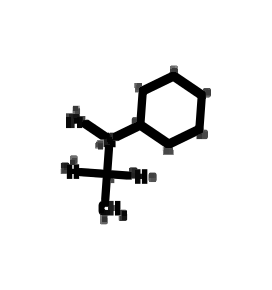 [2H]C([2H])(C)N(C(C)C)C1CCCCC1